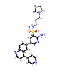 Nc1ncc(-c2ccc3nccc(-c4ccncc4)c3c2)cc1S(=O)(=O)NCCCN1CCCC1